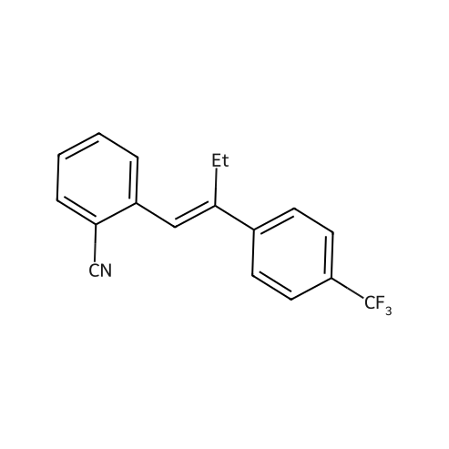 CC/C(=C\c1ccccc1C#N)c1ccc(C(F)(F)F)cc1